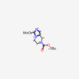 COc1ncc2n1CCN(C(=O)OC(C)(C)C)C2